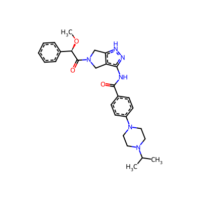 CO[C@@H](C(=O)N1Cc2[nH]nc(NC(=O)c3ccc(N4CCN(C(C)C)CC4)cc3)c2C1)c1ccccc1